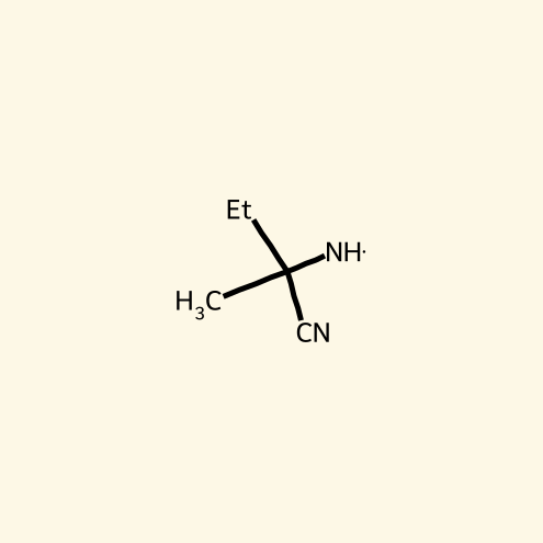 CCC(C)([NH])C#N